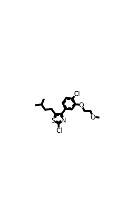 COCCOc1cc(-c2nc(Cl)sc2CCC(C)C)ccc1Cl